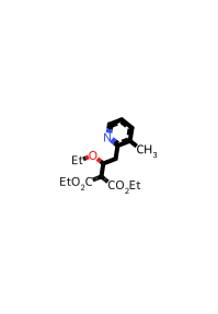 CCOC(=O)C(C(=O)OCC)C(Cc1ncccc1C)OCC